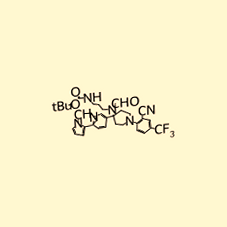 Cn1cccc1-c1ccc(C2(N(C=O)CCCNC(=O)OC(C)(C)C)CCN(c3ccc(C(F)(F)F)cc3C#N)CC2)cn1